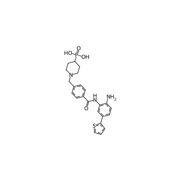 Nc1ccc(-c2cccs2)cc1NC(=O)c1ccc(CN2CCC(P(=O)(O)O)CC2)cc1